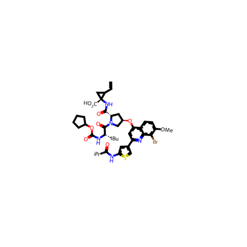 C=CC1C[C@]1(NC(=O)[C@@H]1C[C@@H](Oc2cc(-c3csc(NC(=O)C(C)C)c3)nc3c(Br)c(OC)ccc23)CN1C(=O)[C@@H](NC(=O)OC1CCCC1)C(C)(C)C)C(=O)O